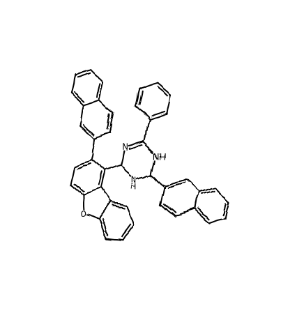 c1ccc(C2=NC(c3c(-c4ccc5ccccc5c4)ccc4oc5ccccc5c34)NC(c3ccc4ccccc4c3)N2)cc1